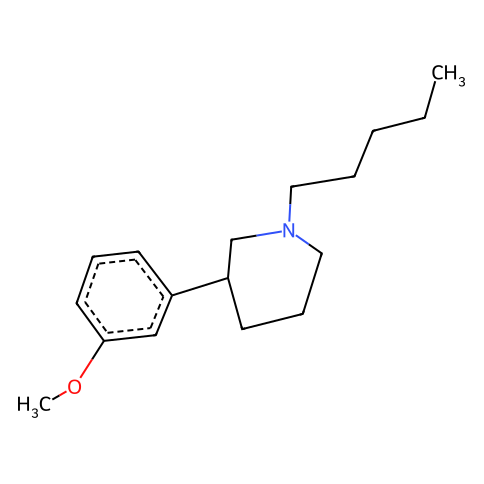 CCCCCN1CCCC(c2cccc(OC)c2)C1